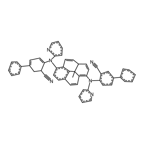 CC12C3=C(N(c4ccccn4)c4ccc(-c5ccccc5)cc4C#N)C=CC1C=Cc1c(N(C4=CC=C(c5ccccc5)CC4C#N)c4ccccn4)ccc(c12)C=C3